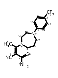 C/C(=C(\C#N)C(N)=S)N1CCCN(c2ccc(C(F)(F)F)cc2)CC1